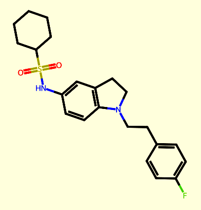 O=S(=O)(Nc1ccc2c(c1)CCN2CCc1ccc(F)cc1)C1CCCCC1